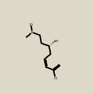 C=C(/C=C\C[C@H](CCN(C)CC)C(C)C)CC